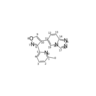 Cc1cccc(-c2nocc2-c2ccc3nncn3c2)n1